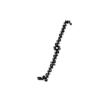 CC(C)(C)OC(=O)COCCOCCOCCOCCOCCOc1ccc(OCCOCCOCCOCCOCCN)cc1